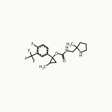 CC1C[C@@]1(OC(=O)NCC1(C)CCCN1)c1ccc(F)c(C(F)(F)F)c1